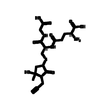 C#CCN1C(=O)C(SC[C@H](NC(=O)CC[C@H](N)C(=O)O)C(=O)NCC(=O)O)CC1(C)O